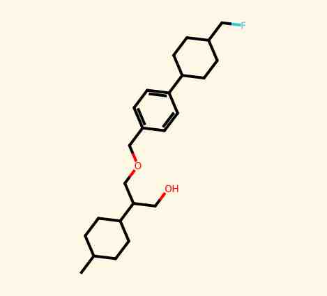 CC1CCC(C(CO)COCc2ccc(C3CCC(CF)CC3)cc2)CC1